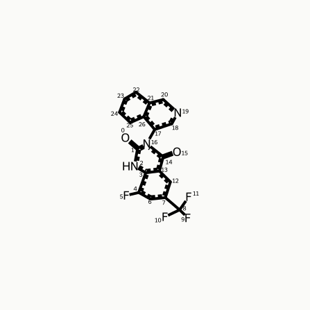 O=c1[nH]c2c(F)cc(C(F)(F)F)cc2c(=O)n1-c1cncc2ccccc12